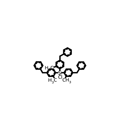 Cc1cc(Cc2ccccc2)ccc1[Si](Cl)(c1ccc(Cc2ccccc2)cc1C)c1ccc(Cc2ccccc2)cc1C